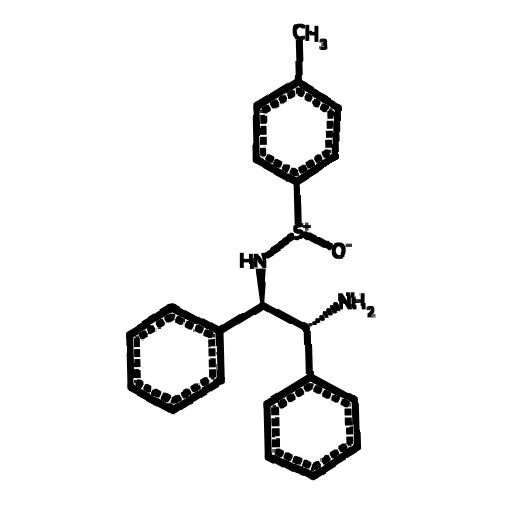 Cc1ccc([S+]([O-])N[C@H](c2ccccc2)[C@H](N)c2ccccc2)cc1